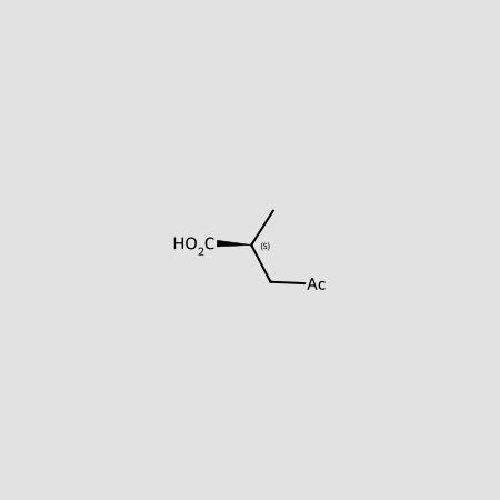 CC(=O)C[C@H](C)C(=O)O